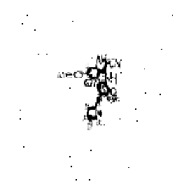 COc1cc2ncc(C#N)c(Nc3ccc(C#Cc4ccccn4)c4c3OCO4)c2cc1OC